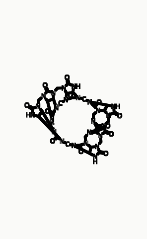 O=C1NC2C3N1CN1C(=O)N4CN5C(=O)NC6C5N5CN7C(=O)N(CN3C(=O)N2CN2C(=O)N3CN8C(=O)N9CN%10C(=O)N(CN6C5=O)C5NC(=O)N(CN6C(=O)N(CN%11C(=O)NC2C%113)C8C69)C5%10)C1C47